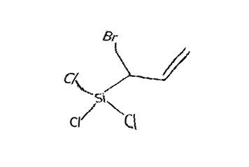 C=CC(Br)[Si](Cl)(Cl)Cl